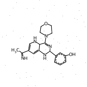 CC(=N)C1=CNC2C(=C1)NC(c1cccc(O)c1)N=C2N1CCOCC1